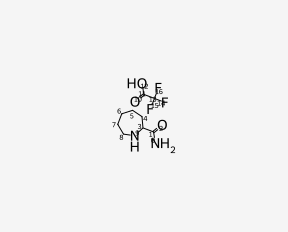 NC(=O)C1CCCCCN1.O=C(O)C(F)(F)F